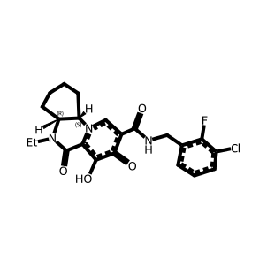 CCN1C(=O)c2c(O)c(=O)c(C(=O)NCc3cccc(Cl)c3F)cn2[C@H]2CCCC[C@H]21